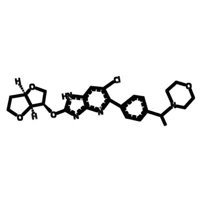 CC(c1ccc(-c2nc3nc(O[C@@H]4CO[C@@H]5CCO[C@@H]54)[nH]c3cc2Cl)cc1)N1CCOCC1